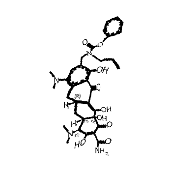 C=CCN(Cc1cc(N(C)C)c2c(c1O)C(=O)C1=C(O)[C@]3(O)C(=O)C(C(N)=O)=C(O)[C@@H](N(C)C)[C@@H]3C[C@@H]1C2)C(=O)Oc1ccccc1